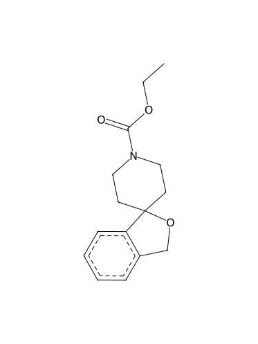 CCOC(=O)N1CCC2(CC1)OCc1ccccc12